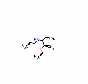 C=CCNC(CC)C(=C)OC=C